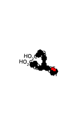 CC(C)(c1ccc(OS(=O)(=O)c2cccc3c2C=CC(C(=O)O)C3)cc1)c1ccc(C(C)(c2ccc(OS(=O)(=O)C3=CC=C[C@H]4C=CCC(C(=O)O)[C@H]34)cc2)c2ccc(OS(=O)(=O)c3cccc4c3C=CCC4C(=O)O)cc2)cc1